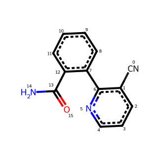 N#Cc1cccnc1-c1ccccc1C(N)=O